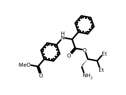 CCC(CC)[C@H](CN)OC(=O)C(Nc1ccc(C(=O)OC)cc1)c1ccccc1